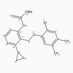 CCc1cc(C)c(C)cc1OCc1c(OC(=O)OC)cccc1C1CC1